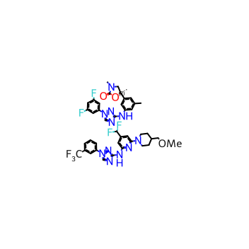 COCC1CCN(c2cc(C(F)F)cc(Nc3ncn(-c4cccc(C(F)(F)F)c4)n3)n2)CC1.Cc1cc(Nc2ncn(-c3cc(F)cc(F)c3)n2)cc([C@]2(C)CN(C)C(=O)O2)c1